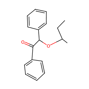 CCC(C)OC(C(=O)c1ccccc1)c1ccccc1